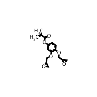 C=C(C)C(=O)Oc1ccc(OCC2CO2)c(OCC2CO2)c1